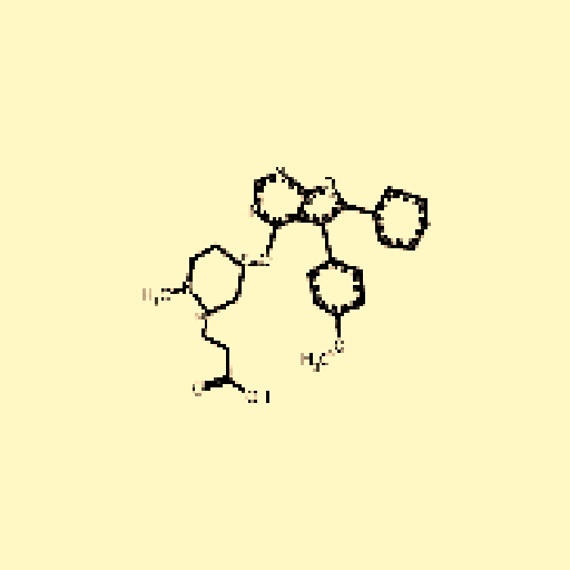 COc1ccc(-c2c(-c3ccccc3)oc3ncnc(O[C@@H]4CCN(C)[C@H](CCC(=O)O)C4)c23)cc1